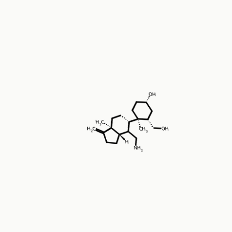 C=C1CC[C@H]2C(CN)[C@@H]([C@@]3(C)CC[C@H](O)C[C@@H]3CO)CC[C@]12C